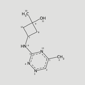 Cc1cnnc(NC2CC(C)(O)C2)n1